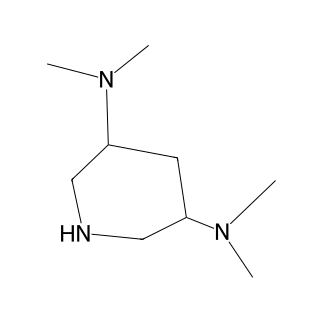 CN(C)C1CNCC(N(C)C)C1